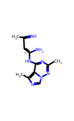 CC(=N)/C=C(\N)Nc1nc(C)nn2cnc(C)c12